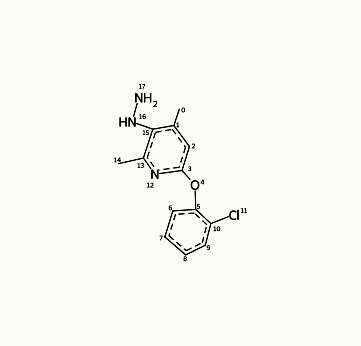 Cc1cc(Oc2ccccc2Cl)nc(C)c1NN